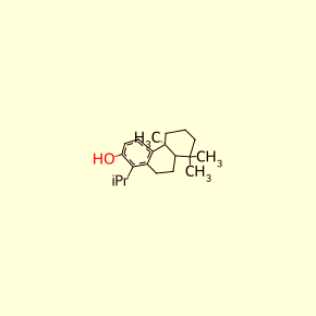 CC(C)c1c(O)ccc2c1CCC1C(C)(C)CCC[C@]21C